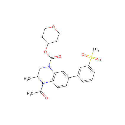 CC(=O)N1c2ccc(-c3cccc(S(C)(=O)=O)c3)cc2N(C(=O)OC2CCOCC2)CC1C